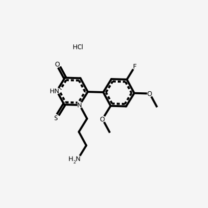 COc1cc(OC)c(-c2cc(=O)[nH]c(=S)n2CCCN)cc1F.Cl